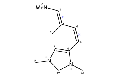 CN/C=C(C)/C=C\C1=CN(C)CN1C